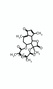 C=C(C)C(=O)OC1CC(C)=C2C(=O)C=C(C)C2C2OC(=O)C(C)(OC(=O)C(=C)C)C12